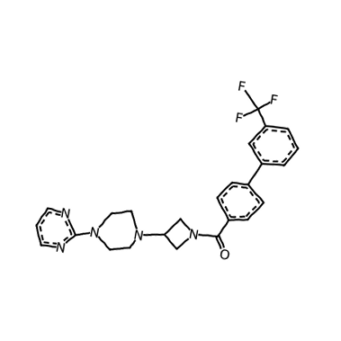 O=C(c1ccc(-c2cccc(C(F)(F)F)c2)cc1)N1CC(N2CCN(c3ncccn3)CC2)C1